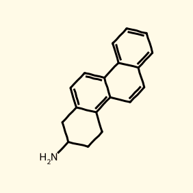 NC1CCc2c(ccc3c2ccc2ccccc23)C1